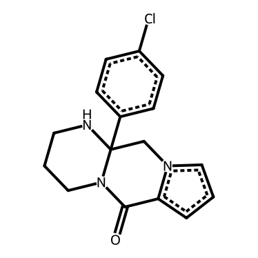 O=C1c2cccn2CC2(c3ccc(Cl)cc3)NCCCN12